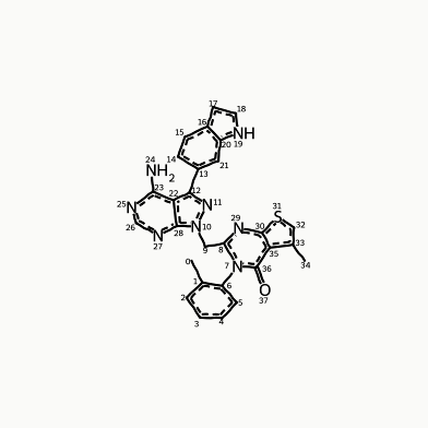 Cc1ccccc1-n1c(Cn2nc(-c3ccc4cc[nH]c4c3)c3c(N)ncnc32)nc2scc(C)c2c1=O